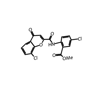 COC(=O)c1cc(Cl)ccc1NC(=O)c1cc(=O)c2cccc(Cl)c2o1